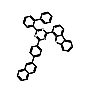 c1ccc(-c2ccccc2-c2nc(-c3ccc(-c4ccc5ccccc5c4)cc3)nc(-c3cccc4c3sc3ccccc34)n2)cc1